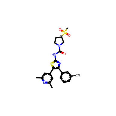 Cc1cc(-c2sc(NC(=O)N3CC[C@@H](S(C)(=O)=O)C3)nc2-c2cccc(C#N)c2)cc(C)n1